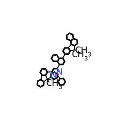 CC1(C)c2cc(-c3ccc(-c4cc(-c5cccc6c5C(C)(c5ccccc5)c5ccccc5-6)nc(-c5ccccc5)n4)c4ccccc34)ccc2-c2c1ccc1ccccc21